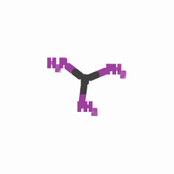 PB(P)P